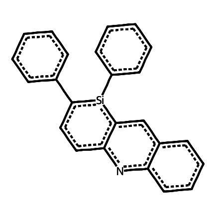 c1ccc(-c2ccc3nc4ccccc4cc3[si]2-c2ccccc2)cc1